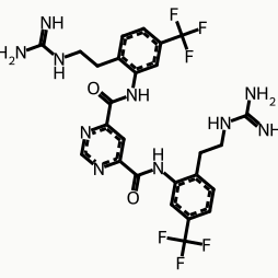 N=C(N)NCCc1ccc(C(F)(F)F)cc1NC(=O)c1cc(C(=O)Nc2cc(C(F)(F)F)ccc2CCNC(=N)N)ncn1